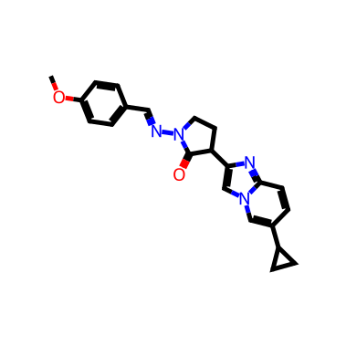 COc1ccc(C=NN2CCC(c3cn4cc(C5CC5)ccc4n3)C2=O)cc1